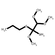 CCCSC([SiH3])(OC)[C](OC)OC